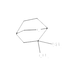 BC1(C)CC2CCC1CC2